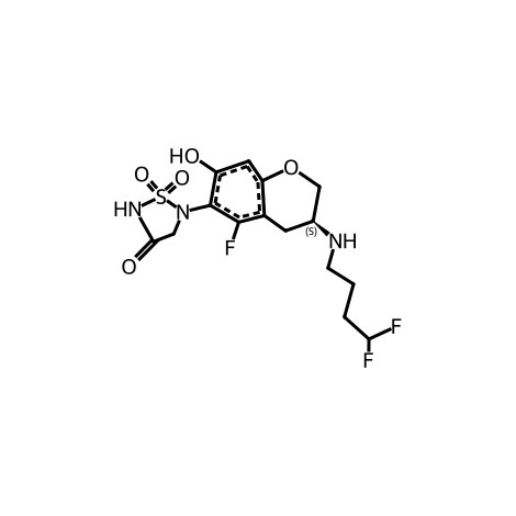 O=C1CN(c2c(O)cc3c(c2F)C[C@H](NCCCC(F)F)CO3)S(=O)(=O)N1